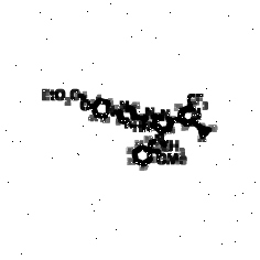 CCOC(=O)COC1CCN(c2cnc(-c3nc4nc(-c5cc(C6CC6)nc(C(F)(F)F)c5)cc(N(C)CC5(COC)CCCCC5)c4[nH]3)cn2)CC1